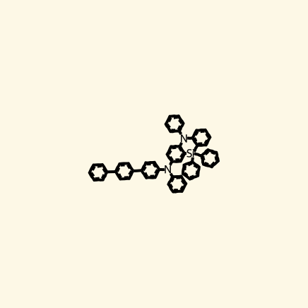 c1ccc(-c2ccc(-c3ccc(N(c4ccccc4)c4ccc5c(c4)[Si](c4ccccc4)(c4ccccc4)c4ccccc4N5c4ccccc4)cc3)cc2)cc1